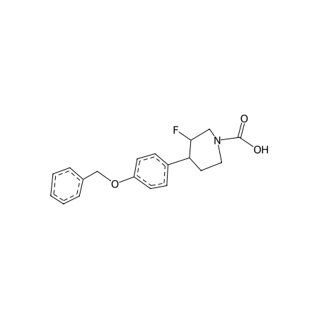 O=C(O)N1CCC(c2ccc(OCc3ccccc3)cc2)C(F)C1